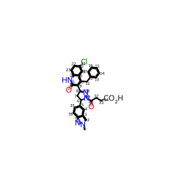 Cn1cc2cc(C3CC(c4c(Cc5ccccc5)c5cc(Cl)ccc5[nH]c4=O)=NN3C(=O)CCC(=O)O)ccc2n1